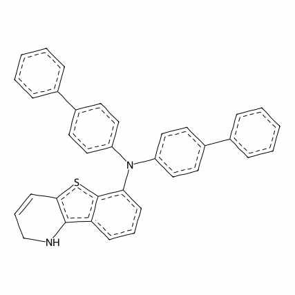 C1=Cc2sc3c(N(c4ccc(-c5ccccc5)cc4)c4ccc(-c5ccccc5)cc4)cccc3c2NC1